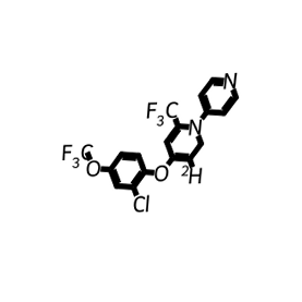 [2H]C1=C(Oc2ccc(OC(F)(F)F)cc2Cl)C=C(C(F)(F)F)N(c2ccncc2)C1